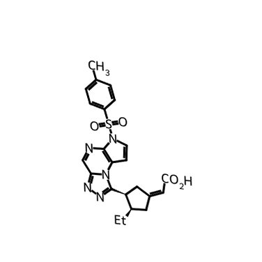 CC[C@@H]1C/C(=C/C(=O)O)C[C@@H]1c1nnc2cnc3c(ccn3S(=O)(=O)c3ccc(C)cc3)n12